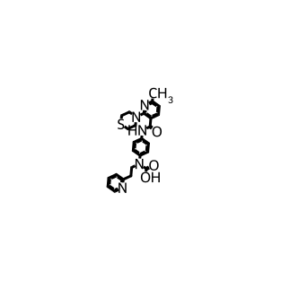 Cc1ccc(C(=O)Nc2ccc(N(CCc3ccccn3)C(=O)O)cc2)c(N2CCSCC2)n1